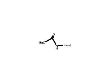 CCCCCNC(=O)OCC(C)C